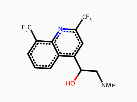 CNCC(O)c1cc(C(F)(F)F)nc2c(C(F)(F)F)cccc12